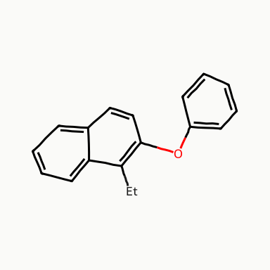 [CH2]Cc1c(Oc2ccccc2)ccc2ccccc12